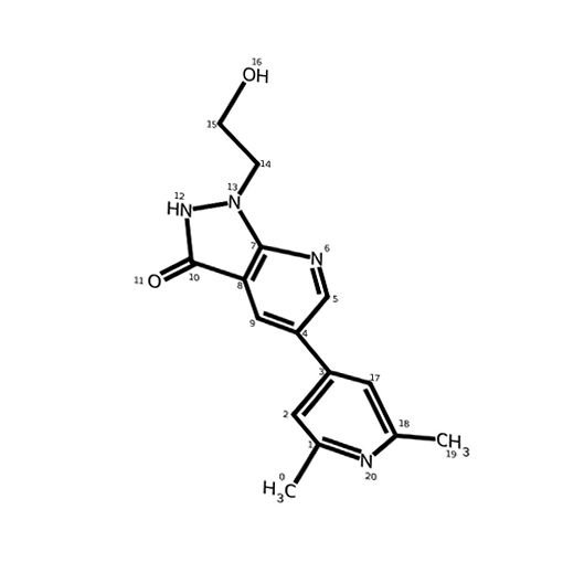 Cc1cc(-c2cnc3c(c2)c(=O)[nH]n3CCO)cc(C)n1